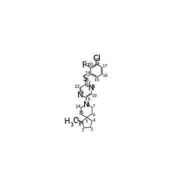 C[C@@H]1CCCC12CCN(c1cnc(Sc3cccc(Cl)c3F)cn1)CC2